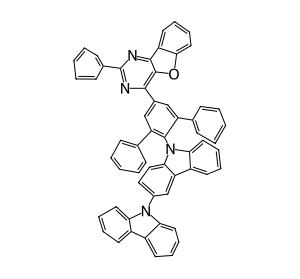 c1ccc(-c2nc(-c3cc(-c4ccccc4)c(-n4c5ccccc5c5cc(-n6c7ccccc7c7ccccc76)ccc54)c(-c4ccccc4)c3)c3oc4ccccc4c3n2)cc1